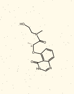 C[C@@H](Oc1cccc2nc[nH]c(=O)c12)C(=O)N(C)CCO